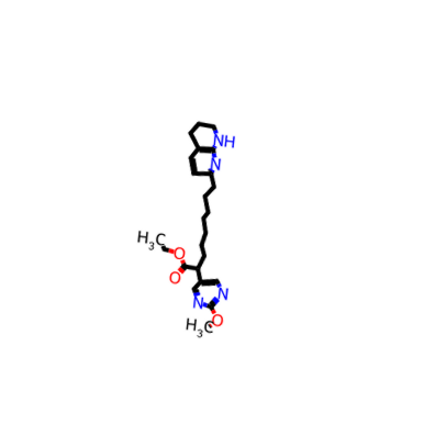 CCOC(=O)C(CCCCCCCc1ccc2c(n1)NCCC2)c1cnc(OC)nc1